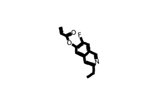 C=CC(=O)Oc1cc2cc(CC)ncc2cc1F